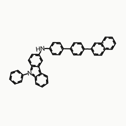 c1ccc(-n2c3ccccc3c3cc(Nc4ccc(-c5ccc(-c6ccc7ccccc7c6)cc5)cc4)ccc32)cc1